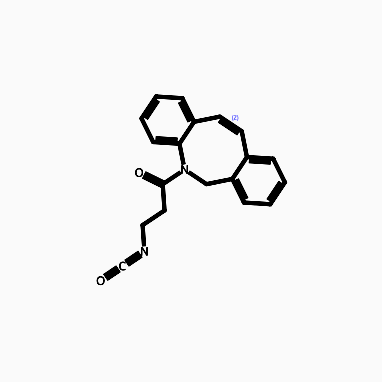 O=C=NCCC(=O)N1Cc2ccccc2/C=C\c2ccccc21